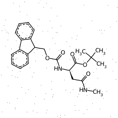 CNC(=O)C[C@@H](NC(=O)OCC1c2ccccc2-c2ccccc21)C(=O)OC(C)(C)C